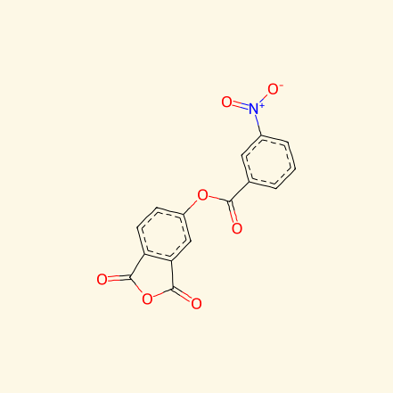 O=C(Oc1ccc2c(c1)C(=O)OC2=O)c1cccc([N+](=O)[O-])c1